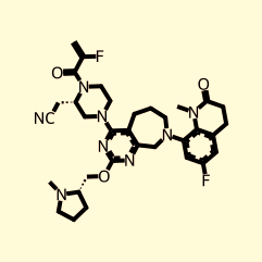 C=C(F)C(=O)N1CCN(c2nc(OC[C@@H]3CCCN3C)nc3c2CCCN(c2cc(F)cc4c2N(C)C(=O)CC4)C3)C[C@@H]1CC#N